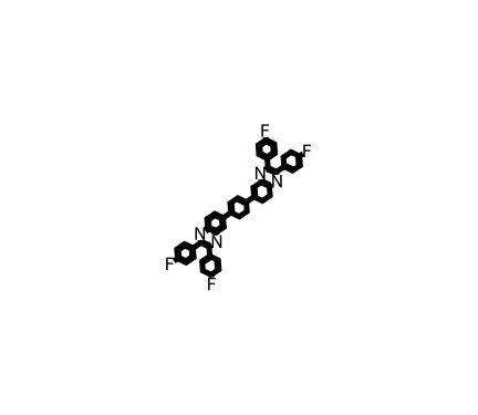 FC1=CC=C(c2nc3c(nc2-c2ccc(F)cc2)C=C(C2=CC=C(c4ccc5nc(-c6ccc(F)cc6)c(C6=CCC(F)C=C6)nc5c4)CC2)CC3)CC1